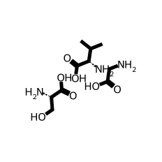 CC(C)[C@H](N)C(=O)O.NCC(=O)O.N[C@@H](CO)C(=O)O